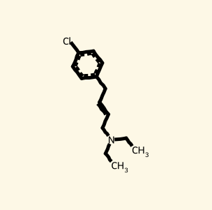 CCN(CC)C/C=C/Cc1ccc(Cl)cc1